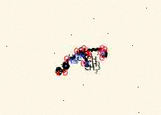 CCC(C)(C(=O)NCCCNC(=O)c1ccc(C(=O)c2ccccc2)cc1)C1C(=O)C(CCCCCC(=O)ON2C(=O)CCC2=O)C(=O)C1CC(C)C(=O)N(C)C